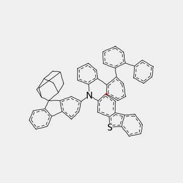 c1ccc(-c2ccccc2-c2ccccc2-c2ccccc2N(c2ccc3c(c2)C2(c4ccccc4-3)C3CC4CC(C3)CC2C4)c2ccc3c(c2)sc2ccccc23)cc1